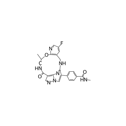 CNC(=O)c1ccc(-c2cn3ncc4c3nc2NCc2cc(F)cnc2OC(C)CNC4=O)cc1